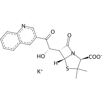 CC1(C)S[C@@H]2[C@H]([C@H](O)C(=O)c3cnc4ccccc4c3)C(=O)N2[C@H]1C(=O)[O-].[K+]